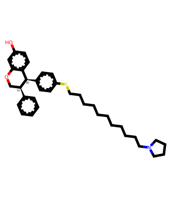 Oc1ccc2c(c1)OC[C@H](c1ccccc1)[C@@H]2c1ccc(SCCCCCCCCCCCN2CCCC2)cc1